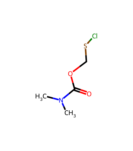 CN(C)C(=O)OCSCl